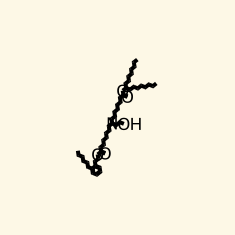 CCCCCCCCC(CCCCCCCC)OC(=O)CCCCCCCN(CCO)CCCCCCCC(=O)OCCc1ccccc1CCCCCC